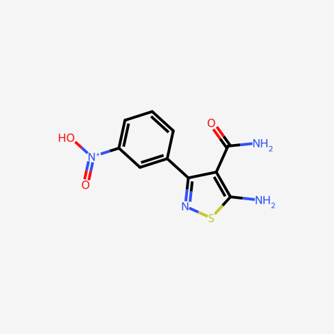 NC(=O)c1c(-c2cccc([N+](=O)O)c2)nsc1N